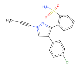 CC#Cn1cc(-c2ccc(Cl)cc2)c(-c2ccccc2S(N)(=O)=O)n1